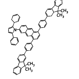 CC1(C)c2ccccc2-c2ccc(-c3ccc(-c4ccc(-c5ccc(C6=CC=C7c8ccccc8C(C)(C)C7C6)cc5)c5cc6ccc(-n7c(-c8ccccc8)ccc7C7C=CC=CC7)cc6cc45)cc3)cc21